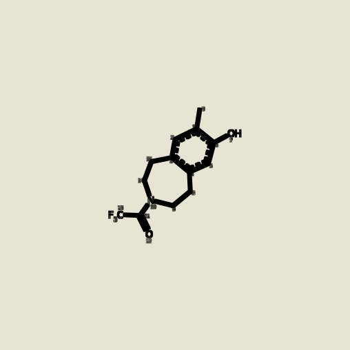 Cc1cc2c(cc1O)CCN(C(=O)C(F)(F)F)CC2